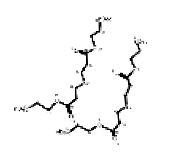 CCCCCCCCCCCCOC(=O)CCSCCC(=O)OCCCCCCCCCCCC.CCCCCCCCCCCCOC(=O)CCSCCC(=O)OCCCCCCCCCCCC